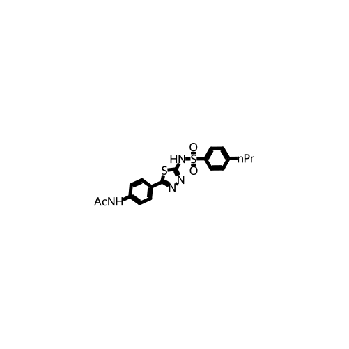 CCCc1ccc(S(=O)(=O)Nc2nnc(-c3ccc(NC(C)=O)cc3)s2)cc1